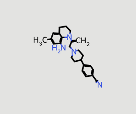 C=C(CN1CCC(c2ccc(C#N)cc2)CC1)N1CCCc2cc(C)cc(N)c21